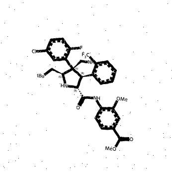 COC(=O)c1ccc(NC(=O)[C@@H]2N[C@@H](CC(C)(C)C)[C@](CN)(c3cc(Cl)ccc3F)[C@H]2c2ccccc2C(F)(F)F)c(OC)c1